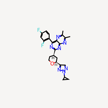 Cc1nc2nc([C@@H]3CCO[C@H](c4cnn(C5CC5)n4)C3)nc(-c3ccc(F)cc3F)c2nc1C